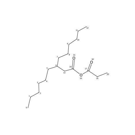 CCCCCCC(CCCCCC)CC(=O)OC(=O)CC